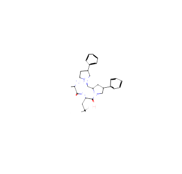 CC(N)C(=O)NC(CC(C)(C)C)C(=O)N1CC(c2ccccc2)CC1CN1CCC(c2ccccc2)C1